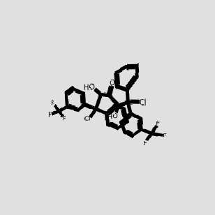 O=C(C(O)C(Cl)(c1ccccc1)c1cccc(C(F)(F)F)c1)C(O)C(Cl)(c1ccccc1)c1cccc(C(F)(F)F)c1